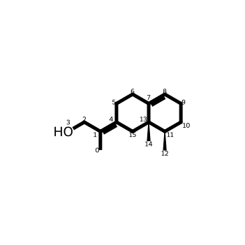 C/C(CO)=C1/CCC2=CCC[C@@H](C)[C@]2(C)C1